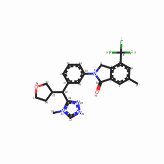 [CH2]c1cc2c(c(C(F)(F)F)c1)CN(c1cccc(C(c3nncn3C)C3CCOC3)c1)C2=O